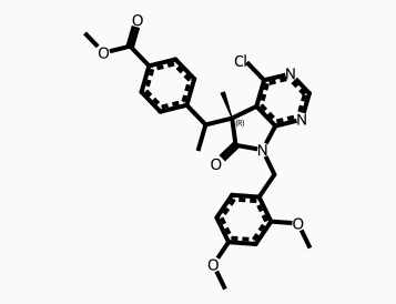 COC(=O)c1ccc(C(C)[C@@]2(C)C(=O)N(Cc3ccc(OC)cc3OC)c3ncnc(Cl)c32)cc1